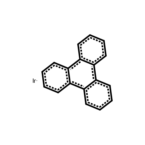 [Ir].c1ccc2c(c1)c1ccccc1c1ccccc21